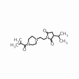 CC(C)C(=O)N1CCN(CCN2C(=O)CC(C(C)C)C2=O)CC1